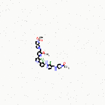 COc1nc(-c2ccnc(-c3cccc(Nc4nccc(CNC5CCN(C(C)=O)CC5)c4F)c3Cl)c2Cl)ccc1CN1CC[C@]2(CCN(S(C)(=O)=O)C2)C1